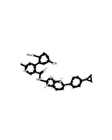 COc1ccc(C#N)cc1-c1cc(C)ncc1C(=O)Nc1nc2ccc(-c3ccc(C4CC4)cc3)nc2s1